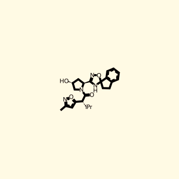 Cc1cc([C@H](C(=O)N2C[C@H](O)C[C@H]2C2=NOC3(CCc4ccccc43)N2)C(C)C)on1